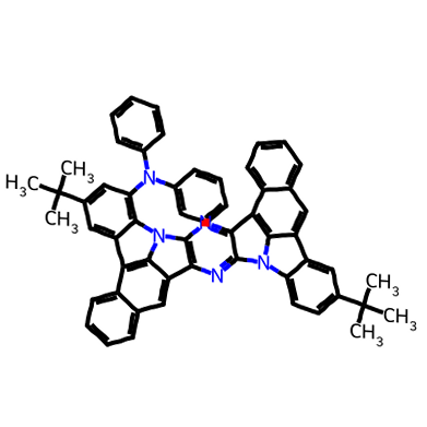 CC(C)(C)c1ccc2c(c1)c1cc3ccccc3c3c4nc5c(nc4n2c13)c1cc2ccccc2c2c3cc(C(C)(C)C)cc(N(c4ccccc4)c4ccccc4)c3n5c12